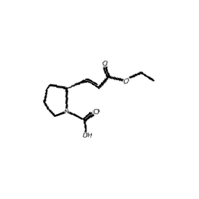 CCOC(=O)C=C[C@@H]1CCCN1C(=O)O